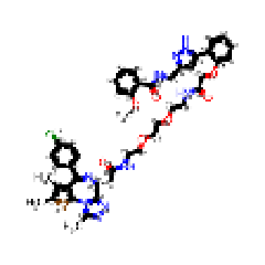 Cc1sc2c(c1C)C(c1ccc(Cl)cc1)=N[C@H](CC(=O)NCCOCCOCCNC(=O)COc1ccccc1-c1cc(CNC(=O)c3ccccc3OC(F)(F)F)n[nH]1)c1nnc(C)n1-2